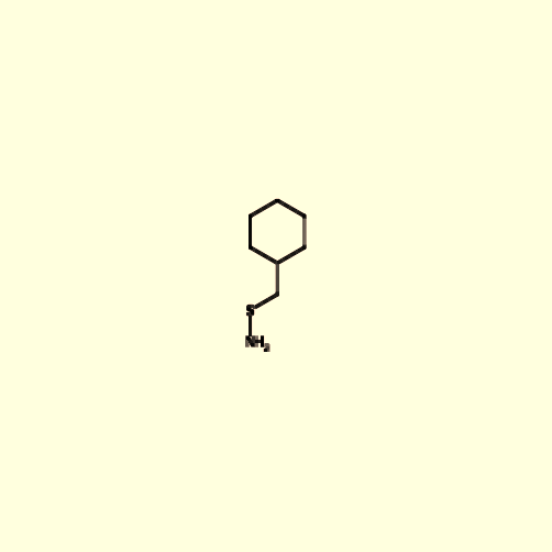 NSCC1CCCCC1